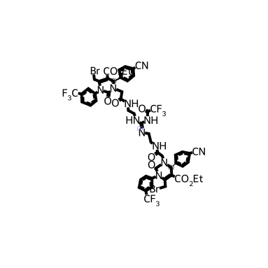 CCOC(=O)C1=C(CBr)N(c2cccc(C(F)(F)F)c2)C(=O)N(CC(=O)NCC/N=C(/NCCNC(=O)CN2C(=O)N(c3cccc(C(F)(F)F)c3)C(CBr)=C(C(=O)OCC)[C@H]2c2ccc(C#N)cc2)NC(=O)C(F)(F)F)[C@@H]1c1ccc(C#N)cc1